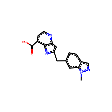 Cn1ncc2ccc(Cc3cc4nccc(C(=O)O)c4[nH]3)cc21